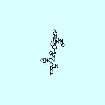 Cc1nc2cc(C3CC3S(C)(=O)=Nc3cc(N4CCOC[C@H]4C)nc(-c4cncc5[nH]ccc45)n3)ccc2n1-c1nc(N=S(C)(C)=O)cc(N2CCOC[C@H]2C)n1